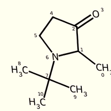 CC1C(=O)CCN1C(C)(C)C